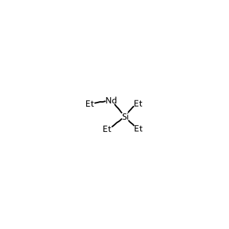 C[CH2][Nd][Si](CC)(CC)CC